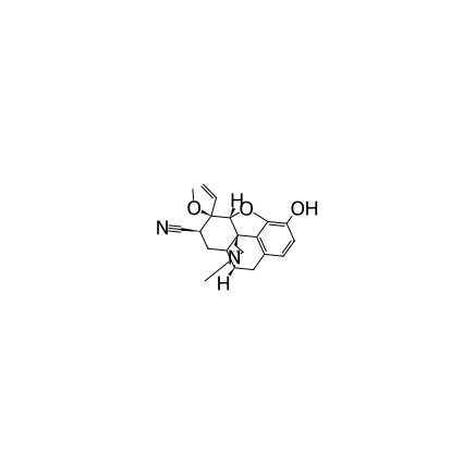 C=C[C@@]1(OC)[C@H](C#N)C[C@]2(C)[C@H]3Cc4ccc(O)c5c4[C@@]2(CCN3C)[C@H]1O5